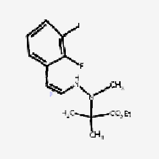 CCOC(=O)C(C)(C)N(C)N/C=C\c1cccc(F)c1F